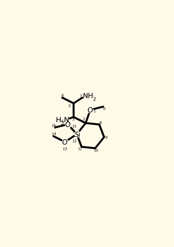 COC1(C(N)C(C)N)CCCC[Si]1(OC)OC